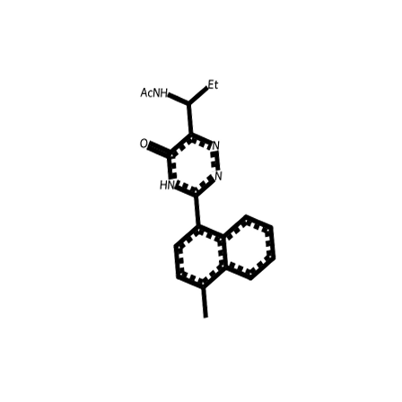 CCC(NC(C)=O)c1nnc(-c2ccc(C)c3ccccc23)[nH]c1=O